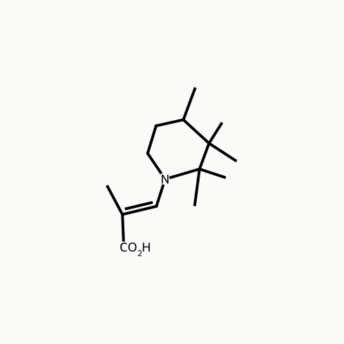 CC(=CN1CCC(C)C(C)(C)C1(C)C)C(=O)O